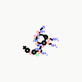 C[C@@H]1NC(=O)[C@@H](N(C)C(=O)[C@H](CCN)NC(=O)c2ccc(Oc3ccc(C(C)(C)C)cc3)cc2Cl)c2ccc(OCCN)c(c2)-c2cc(ccc2OCCN)C[C@@H](C(=O)NCC#N)NC1=O